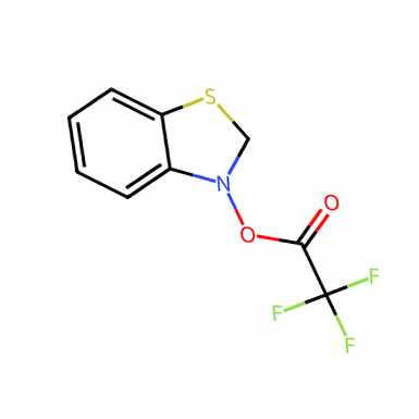 O=C(ON1CSc2ccccc21)C(F)(F)F